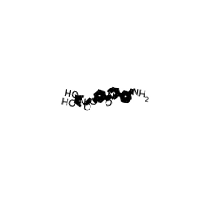 NCc1cccc(C2CCCN(C(=O)c3cccc(OCC(=O)N4C[C@@H](O)[C@@H](O)C4)c3)C2)c1